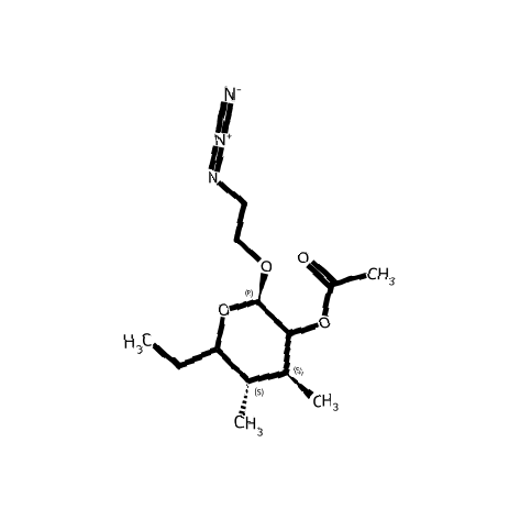 CCC1O[C@@H](OCCN=[N+]=[N-])C(OC(C)=O)[C@@H](C)[C@@H]1C